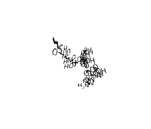 CC=CC(=O)SCCNC(=O)CCNC(=O)C(O)C(C)(C)COP(=O)(O)OP(=O)(O)OC[C@H]1O[C@@H](n2cnc3c(N)ncnc32)[C@H](O)[C@@H]1OP(=O)(O)O.O=P(O)(O)O